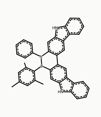 Cc1cc(C)c(B2c3cc4[nH]c5ccccc5c4cc3-c3cc4c(cc3N2c2ccccc2)[nH]c2ccccc24)c(C)c1